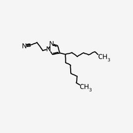 CCCCCCC(CCCCCC)c1cnn(CCC#N)c1